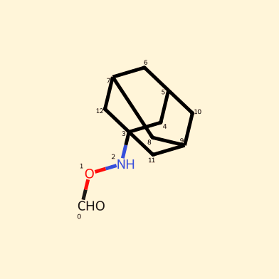 O=CONC12CC3CC(CC(C3)C1)C2